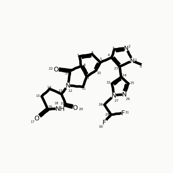 Cn1ncc(-c2ccc3c(c2)CN(C2CCC(=O)NC2=O)C3=O)c1-c1cnn(CC(F)F)c1